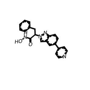 O=C(NO)C(Cc1ccccc1)n1cc2cc(-c3ccncc3)ccc2n1